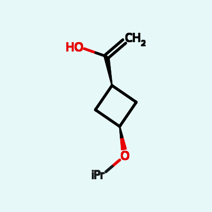 C=C(O)[C@H]1C[C@@H](OC(C)C)C1